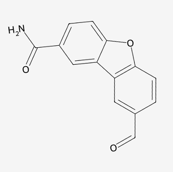 NC(=O)c1ccc2oc3ccc(C=O)cc3c2c1